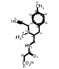 C#CCN(C)C(CNC(=O)CC(=O)O)Cc1ccc(C)cc1